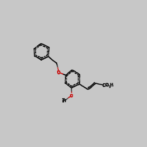 CC(C)Oc1cc(OCc2ccccc2)ccc1/C=C/C(=O)O